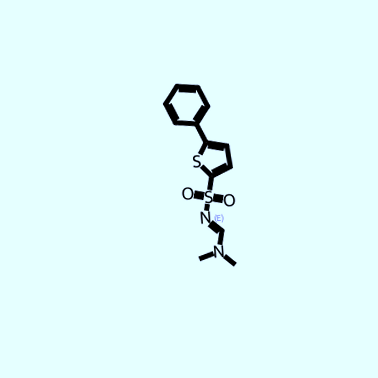 CN(C)/C=N/S(=O)(=O)c1ccc(-c2ccccc2)s1